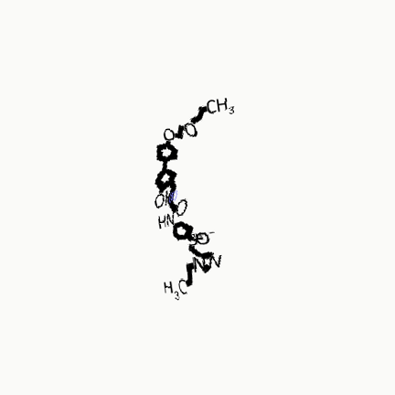 CCCCOCCOc1ccc(-c2ccc(O)c(/C=C/C(=O)Nc3ccc([S@@+]([O-])Cc4cncn4CCC)cc3)c2)cc1